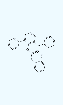 O=C(Oc1ccccc1F)Oc1c(Cc2ccccc2)cccc1-c1ccccc1